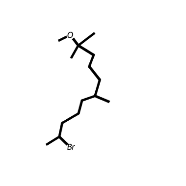 COC(C)(C)CCCC(C)CCCC(C)Br